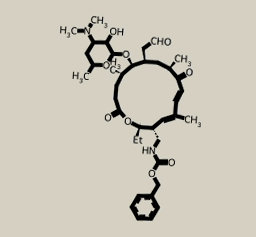 CC[C@H]1OC(=O)CC[C@H](C)[C@@H](OC2OC(C)CC(N(C)C)C2O)[C@@H](CC=O)C[C@@H](C)C(=O)/C=C/C(C)=C/[C@@H]1CNC(=O)OCc1ccccc1